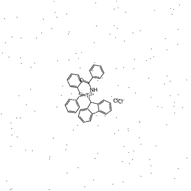 O=C([NH][Ti+2]([CH]1c2ccccc2-c2ccccc21)=[Si](c1ccccc1)c1ccccc1)c1ccccc1.[Cl-].[Cl-]